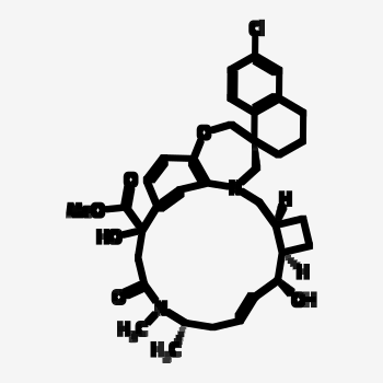 COC(=O)C1(O)CC(=O)N(C)[C@@H](C)C/C=C/[C@H](O)[C@@H]2CC[C@H]2CN2C[C@@]3(CCCc4cc(Cl)ccc43)COc3ccc1cc32